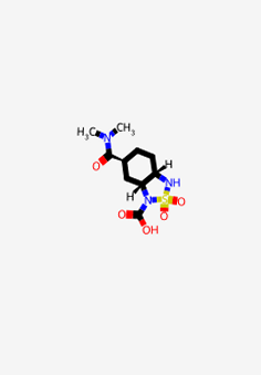 CN(C)C(=O)[C@H]1CC[C@@H]2NS(=O)(=O)N(C(=O)O)[C@@H]2C1